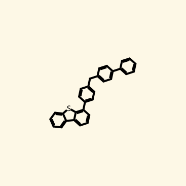 c1ccc(-c2ccc(Cc3ccc(-c4cccc5c4sc4ccccc45)cc3)cc2)cc1